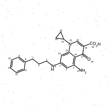 Nc1cc(NCCCc2ccccc2)cc2c1c(=O)c(C(=O)O)cn2C1CC1